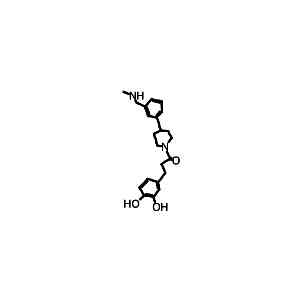 CNCc1cccc(C2CCN(C(=O)CCc3ccc(O)c(O)c3)CC2)c1